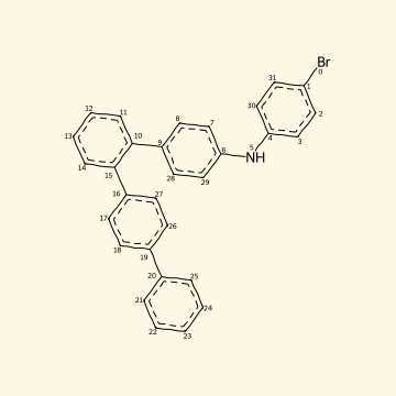 Brc1ccc(Nc2ccc(-c3ccccc3-c3ccc(-c4ccccc4)cc3)cc2)cc1